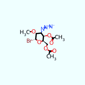 CO[C@@H]1[C@@H](N=[N+]=[N-])[C@@H](OC(C)=O)[C@@H](COC(C)=O)O[C@@H]1Br